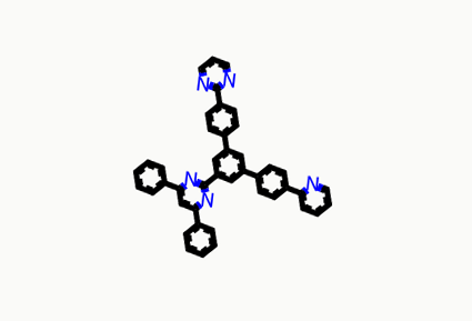 c1ccc(-c2cc(-c3ccccc3)nc(-c3cc(-c4ccc(-c5ccccn5)cc4)cc(-c4ccc(-c5ncccn5)cc4)c3)n2)cc1